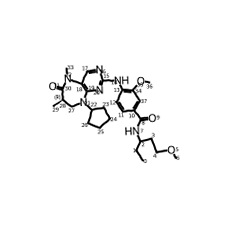 CCC(CCOC)NC(=O)c1ccc(Nc2ncc3c(n2)N(C2CCCC2)C[C@@H](C)C(=O)N3C)c(OC)c1